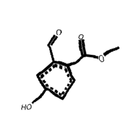 COC(=O)c1ccc(O)cc1C=O